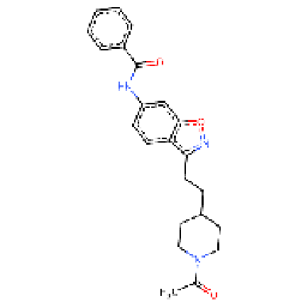 CC(=O)N1CCC(CCc2noc3cc(NC(=O)c4ccccc4)ccc23)CC1